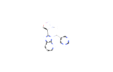 CN1NOC=C1c1nc2cccnc2n1Cc1cncnc1